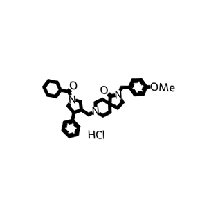 COc1ccc(CN2CCC3(CCN(CC4CN(C(=O)C5CCCCC5)CC4c4ccccc4)CC3)C2=O)cc1.Cl